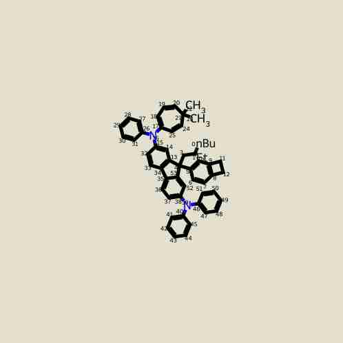 CCCCC(CC)CC1(c2ccc3c(c2)CC3)c2cc(N(C3=CC=CC(C)(C)C=C3)c3ccccc3)ccc2-c2ccc(N(c3ccccc3)c3ccccc3)cc21